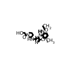 C=CC(=O)Nc1ccc(C)cc1Nc1nc(NC2CCCN(C(=O)CO)C2)ncc1C(F)(F)F